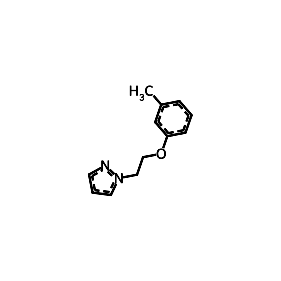 Cc1cccc(OCCn2cccn2)c1